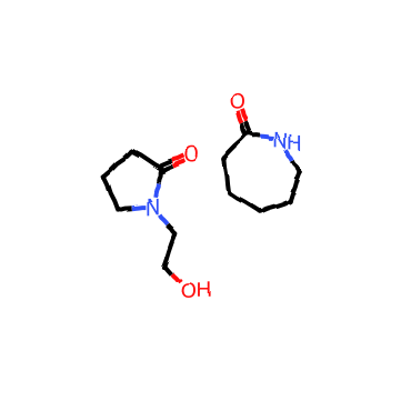 O=C1CCCCCN1.O=C1CCCN1CCO